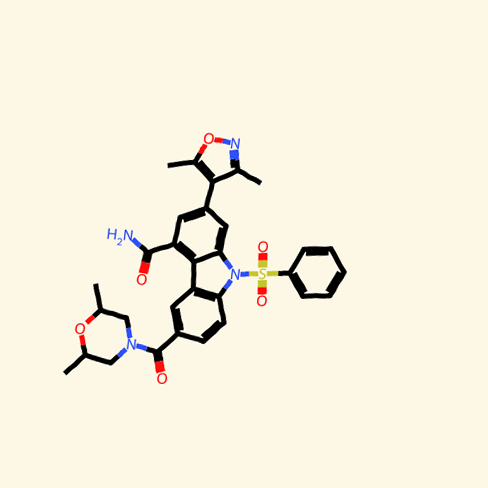 Cc1noc(C)c1-c1cc(C(N)=O)c2c3cc(C(=O)N4CC(C)OC(C)C4)ccc3n(S(=O)(=O)c3ccccc3)c2c1